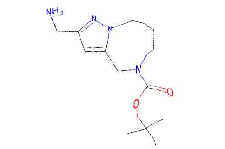 CC(C)(C)OC(=O)N1CCCn2nc(CN)cc2C1